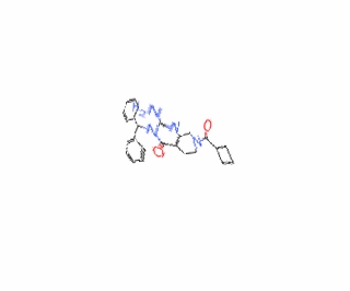 Nc1nc2c(c(=O)n1C(c1ccccc1)c1ccccc1)CCN(C(=O)C1CCC1)C2